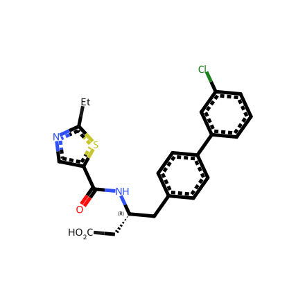 CCc1ncc(C(=O)N[C@@H](CC(=O)O)Cc2ccc(-c3cccc(Cl)c3)cc2)s1